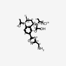 CC(=O)N1c2ccc(-c3nc(CN)no3)cc2[C@H](N(C(=O)O)C(C)C)C[C@@H]1C.Cl